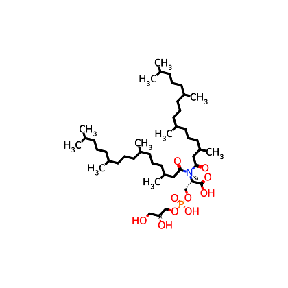 CC(C)CCCC(C)CCCC(C)CCCC(C)CC(=O)N(C(=O)CC(C)CCCC(C)CCCC(C)CCCC(C)C)[C@@H](COP(=O)(O)OC[C@H](O)CO)C(=O)O